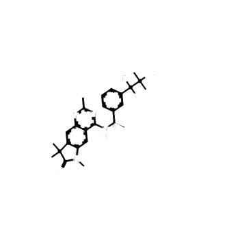 Cc1nc(N[C@H](C)c2cccc(C(F)(F)C(C)(C)O)c2)c2cc3c(cc2n1)C(C)(C)C(=O)N3C